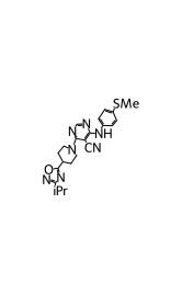 CSc1ccc(Nc2ncnc(N3CCC(c4nc(C(C)C)no4)CC3)c2C#N)cc1